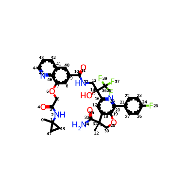 CC1(NC(=O)COc2cc(C(=O)NC[C@](O)(c3cc4c(c(-c5ccc(F)cc5)n3)OC[C@]4(C)C(N)=O)C(F)(F)F)cc3cccnc23)CC1